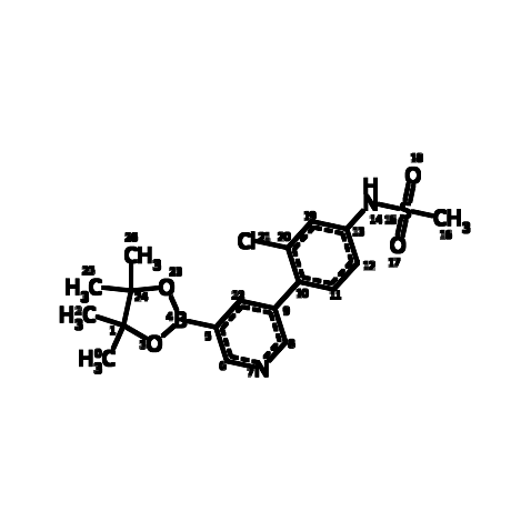 CC1(C)OB(c2cncc(-c3ccc(NS(C)(=O)=O)cc3Cl)c2)OC1(C)C